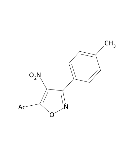 CC(=O)c1onc(-c2ccc(C)cc2)c1[N+](=O)[O-]